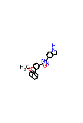 COc1ccc(-c2nc(-c3ccc4c(c3)CCN4)no2)cc1C12CC3CC(CC(C3)C1)C2